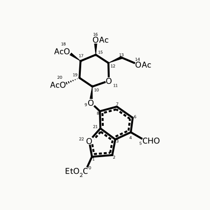 CCOC(=O)c1cc2c(C=O)ccc(O[C@@H]3O[C@H](COC(C)=O)[C@H](OC(C)=O)[C@H](OC(C)=O)[C@H]3OC(C)=O)c2o1